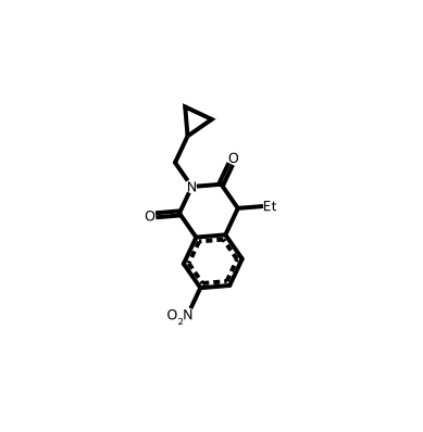 CCC1C(=O)N(CC2CC2)C(=O)c2cc([N+](=O)[O-])ccc21